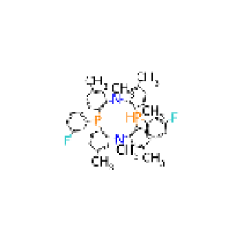 Cc1ccc2c(c1)N(C)c1cc(C)ccc1[PH](C)(c1cccc(F)c1)c1ccc(C)cc1N(C)c1cc(C)ccc1P2c1cccc(F)c1